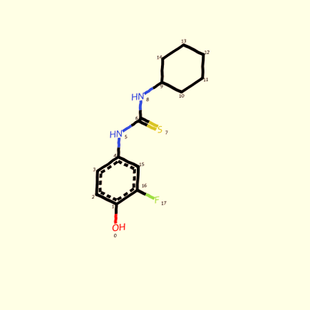 Oc1ccc(NC(=S)NC2CCCCC2)cc1F